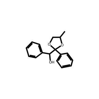 CC1COC(c2ccccc2)(C(O)c2ccccc2)O1